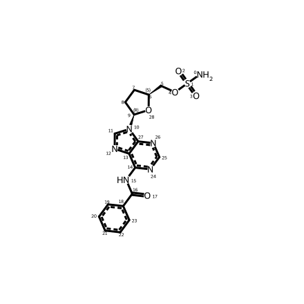 NS(=O)(=O)OC[C@@H]1CC[C@H](n2cnc3c(NC(=O)c4ccccc4)ncnc32)O1